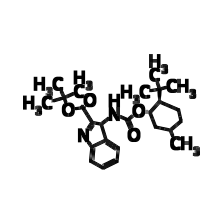 CC1CC[C@H](C(C)(C)C)[C@@H](OC(=O)NC2C(C(=O)OC(C)(C)C)=Nc3ccccc32)C1